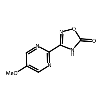 COc1cnc(-c2noc(=O)[nH]2)nc1